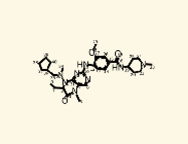 CCC1C(=O)N(C)c2cnc(Nc3ccc(C(=O)NC4CCN(C)CC4)cc3OC)nc2N1N(C)CC1CCCC1